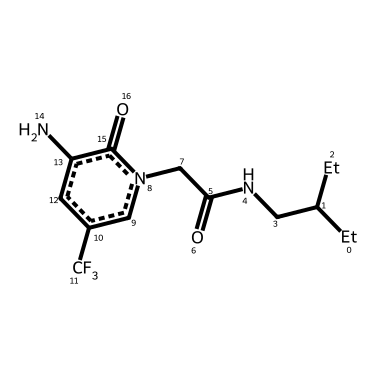 CCC(CC)CNC(=O)Cn1cc(C(F)(F)F)cc(N)c1=O